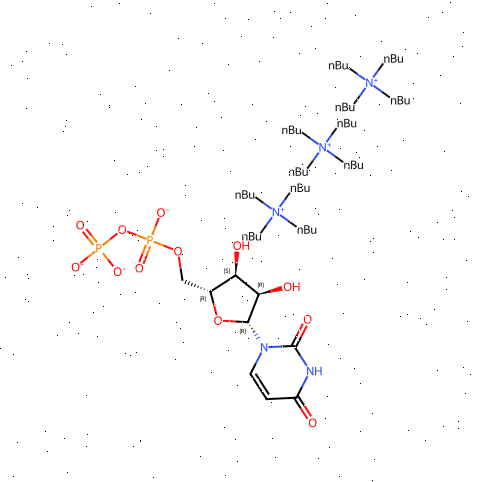 CCCC[N+](CCCC)(CCCC)CCCC.CCCC[N+](CCCC)(CCCC)CCCC.CCCC[N+](CCCC)(CCCC)CCCC.O=c1ccn([C@@H]2O[C@H](COP(=O)([O-])OP(=O)([O-])[O-])[C@@H](O)[C@H]2O)c(=O)[nH]1